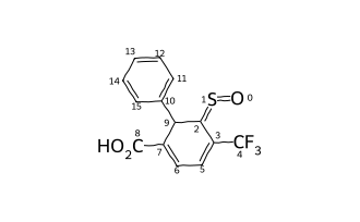 O=S=C1C(C(F)(F)F)=CC=C(C(=O)O)C1c1ccccc1